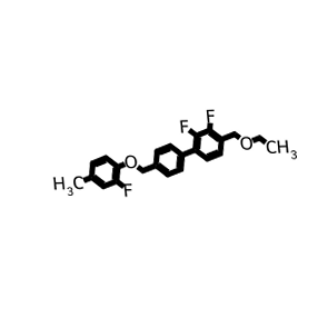 CCOCc1ccc(-c2ccc(COc3ccc(C)cc3F)cc2)c(F)c1F